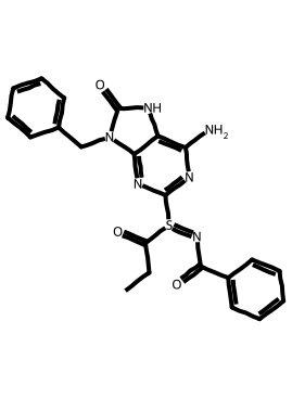 CCC(=O)/S(=N\C(=O)c1ccccc1)c1nc(N)c2[nH]c(=O)n(Cc3ccccc3)c2n1